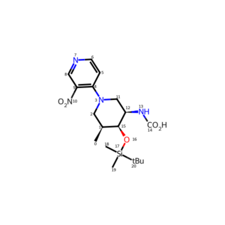 C[C@H]1CN(c2ccncc2[N+](=O)[O-])C[C@@H](NC(=O)O)[C@H]1O[Si](C)(C)C(C)(C)C